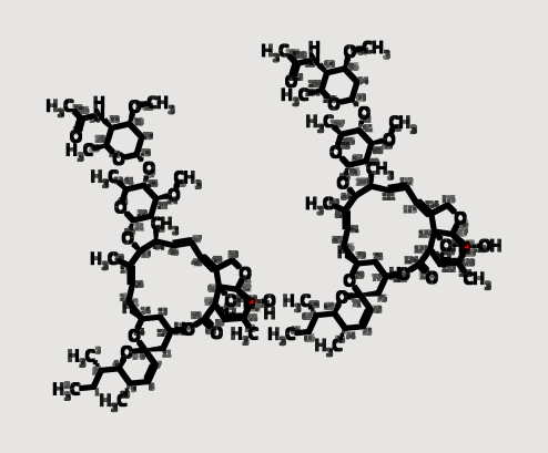 CC[C@H](C)[C@H]1O[C@]2(C=C[C@@H]1C)C[C@@H]1C[C@@H](C/C=C(\C)[C@@H](O[C@H]3C[C@H](OC)[C@@H](O[C@H]4C[C@H](OC)[C@H](NC(C)=O)[C@H](C)O4)[C@H](C)O3)[C@@H](C)/C=C/C=C3\CO[C@@H]4[C@H](O)C(C)=C[C@@H](C(=O)O1)[C@]34O)O2.CC[C@H](C)[C@H]1O[C@]2(C=C[C@@H]1C)C[C@@H]1C[C@@H](C/C=C(\C)[C@@H](O[C@H]3C[C@H](OC)[C@@H](O[C@H]4C[C@H](OC)[C@H](NC(C)=O)[C@H](C)O4)[C@H](C)O3)[C@@H](C)/C=C/C=C3\CO[C@@H]4[C@H](O)C(C)=C[C@@H](C(=O)O1)[C@]34O)O2